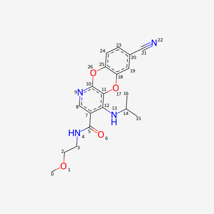 COCCNC(=O)c1cnc2c(c1NC(C)C)Oc1cc(C#N)ccc1O2